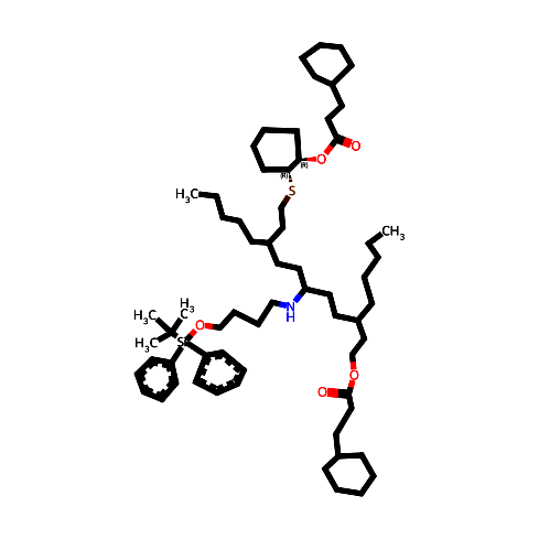 CCCCCC(CCOC(=O)CCC1CCCCC1)CCC(CCC(CCCCC)CCS[C@@H]1CCCC[C@H]1OC(=O)CCC1CCCCC1)NCCCCO[Si](c1ccccc1)(c1ccccc1)C(C)(C)C